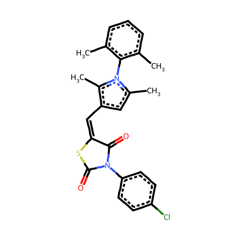 Cc1cccc(C)c1-n1c(C)cc(C=C2SC(=O)N(c3ccc(Cl)cc3)C2=O)c1C